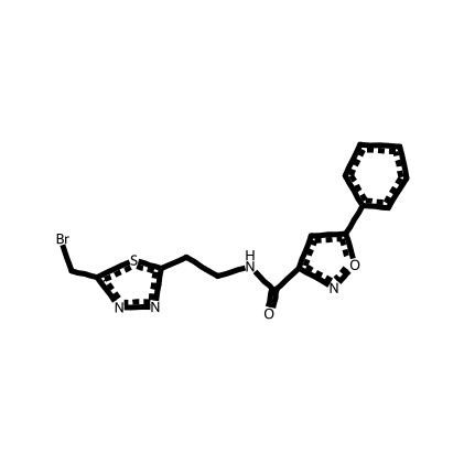 O=C(NCCc1nnc(CBr)s1)c1cc(-c2ccccc2)on1